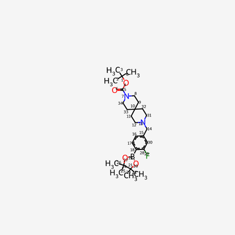 CC(C)(C)OC(=O)N1CCC2(CCN(Cc3ccc(B4OC(C)(C)C(C)(C)O4)c(F)c3)CC2)CC1